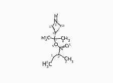 CCC(C)C(=O)OC(C)(C)C1CNC1